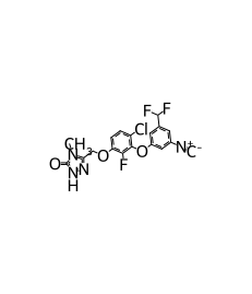 [C-]#[N+]c1cc(Oc2c(Cl)ccc(OCc3n[nH]c(=O)n3C)c2F)cc(C(F)F)c1